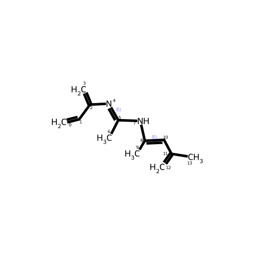 C=CC(=C)/N=C(\C)N/C(C)=C/C(=C)C